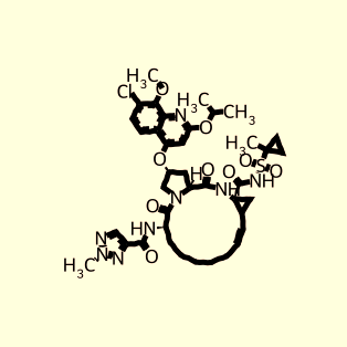 COc1c(Cl)ccc2c(O[C@@H]3C[C@H]4C(=O)N[C@]5(C(=O)NS(=O)(=O)C6(C)CC6)CC5/C=C\CCCCC[C@H](NC(=O)c5cnn(C)n5)C(=O)N4C3)cc(OC(C)C)nc12